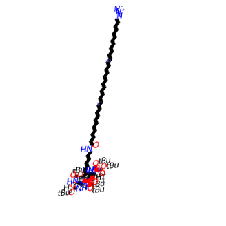 CCCC(NC(=O)OC(C)(C)C)C(NC(=O)OC(C)(C)C)(C(CCCCCCNC(=O)CCCCCCCCCC/C=C/CCCCCCCCCC/C=C/CCCCCCCCCCCN=[N+]=[N-])CN(C(=O)OC(C)(C)C)C(CCC)(NC(=O)OC(C)(C)C)C(C)(CC)NC(=O)OC(C)(C)C)C(C)(CC)NC(=O)OC(C)(C)C